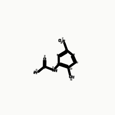 CC(C)C(=O)Nc1cc([N+](=O)[O-])ccc1O